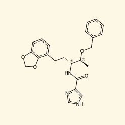 C[C@H](OCc1ccccc1)[C@@H](CCc1cccc2c1OCO2)NC(=O)c1c[nH]cn1